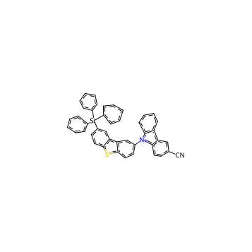 N#Cc1ccc2c(c1)c1ccccc1n2-c1ccc2sc3ccc([Si](c4ccccc4)(c4ccccc4)c4ccccc4)cc3c2c1